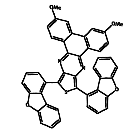 COc1ccc2c(c1)c1cc(OC)ccc1c1nc3c(-c4cccc5oc6ccccc6c45)sc(-c4cccc5oc6ccccc6c45)c3nc21